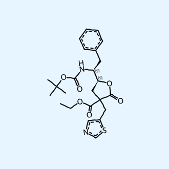 CCOC(=O)C1(Cc2cncs2)C[C@@H]([C@H](Cc2ccccc2)NC(=O)OC(C)(C)C)OC1=O